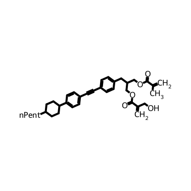 C=C(C)C(=O)OCC(COC(=O)C(=C)CO)Cc1ccc(C#Cc2ccc(C3CCC(CCCCC)CC3)cc2)cc1